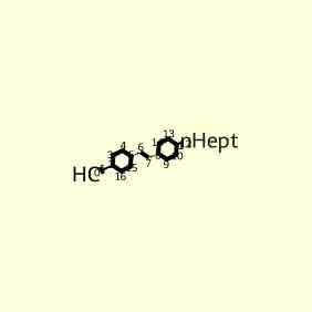 C#C[C@H]1CC[C@H](CC[C@H]2CC[C@H](CCCCCCC)CC2)CC1